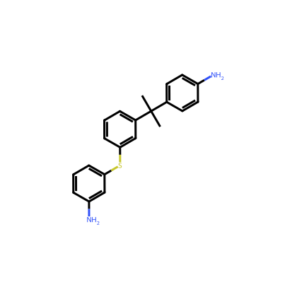 CC(C)(c1ccc(N)cc1)c1cccc(Sc2cccc(N)c2)c1